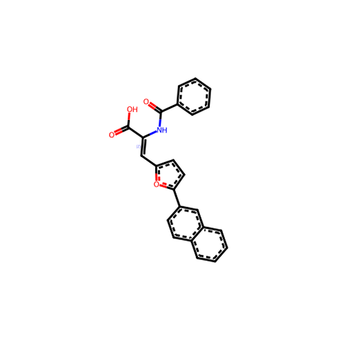 O=C(O)/C(=C/c1ccc(-c2ccc3ccccc3c2)o1)NC(=O)c1ccccc1